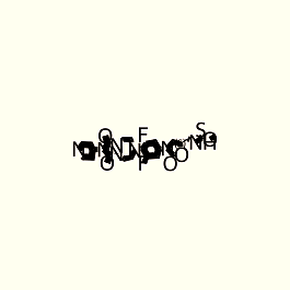 COC(=S)NC[C@H]1CN(c2cc(F)c(N3CCn4c(=O)n(-c5ccncc5)c(=O)n4CC3)c(F)c2)C(=O)O1